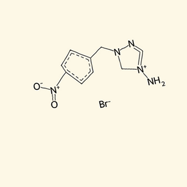 N[N+]1=C=NN(Cc2ccc([N+](=O)[O-])cc2)C1.[Br-]